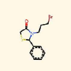 O=C1CSC(c2ccccc2)N1CCCBr